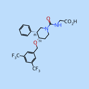 O=C(O)CNC(=O)N1CC[C@H](OCc2cc(C(F)(F)F)cc(C(F)(F)F)c2)[C@H](c2ccccc2)C1